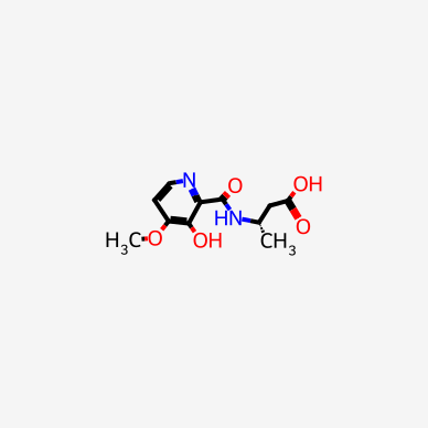 COc1ccnc(C(=O)N[C@@H](C)CC(=O)O)c1O